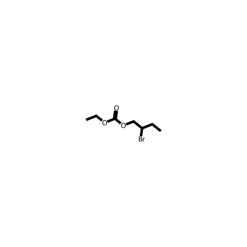 CCOC(=O)OCC(Br)CC